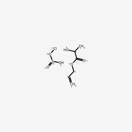 C=CCOC(=O)C(C)O.O=S(O)OCl